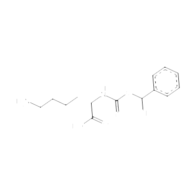 NCCCC[C@H](NC(=O)OC(Cl)c1ccccc1)C(=O)O